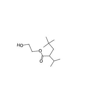 CC(C)C(CC(C)(C)C)C(=O)OCCO